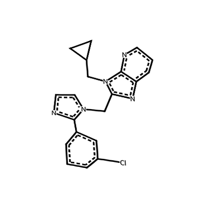 Clc1cccc(-c2nccn2Cc2nc3cccnc3n2CC2CC2)c1